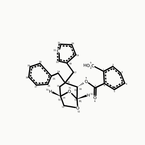 O=C(O)c1ccccc1C(=O)O[C@@H]1[C@@H]2OC[C@H](CC1(Cc1ccccc1)Cc1ccccc1)O2